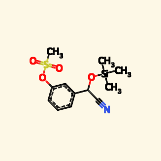 C[Si](C)(C)OC(C#N)c1cccc(OS(C)(=O)=O)c1